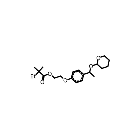 CCC(C)(C)C(=O)OCCOc1ccc(C(C)OC2CCCCO2)cc1